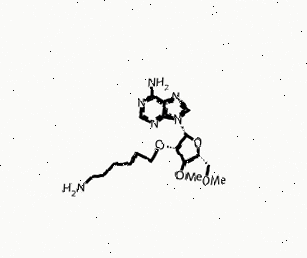 COC[C@H]1O[C@@H](n2cnc3c(N)ncnc32)[C@@H](OCCCCCCN)C1OC